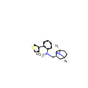 O=C(O)N(C[C@H]1C[C@H]2CC[C@@H](C1)N2)c1ccccc1-c1ccsc1